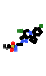 CS(=O)(=O)NCCn1cc2c(n1)C(C1(c3ccc(Cl)cc3)CCC1)NCC2.Cl